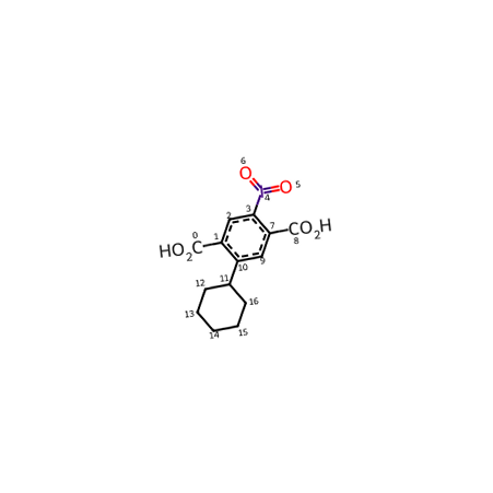 O=C(O)c1cc(I(=O)=O)c(C(=O)O)cc1C1CCCCC1